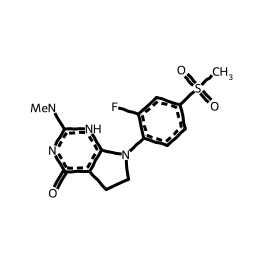 CNc1nc(=O)c2c([nH]1)N(c1ccc(S(C)(=O)=O)cc1F)CC2